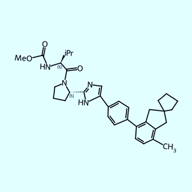 COC(=O)N[C@H](C(=O)N1CCC[C@H]1c1ncc(-c2ccc(-c3ccc(C)c4c3CC3(CCCC3)C4)cc2)[nH]1)C(C)C